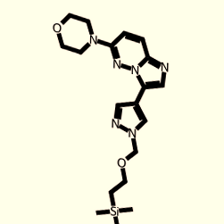 C[Si](C)(C)CCOCn1cc(-c2cnc3ccc(N4CCOCC4)nn23)cn1